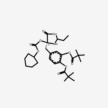 CCC(C)N[C@@](Cc1ccc(OC(=O)C(C)(C)C)c(OC(=O)C(C)(C)C)c1)(OC(=O)OC1CCCCC1)C(=O)O